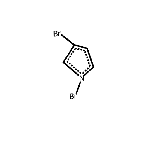 Brc1[c]n(Br)cc1